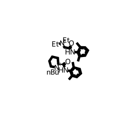 CCCCN1CCCC[C@H]1C(=O)Nc1c(C)cccc1C.CCN(CC)CC(=O)Nc1c(C)cccc1C